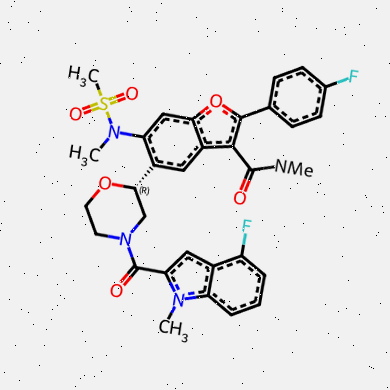 CNC(=O)c1c(-c2ccc(F)cc2)oc2cc(N(C)S(C)(=O)=O)c([C@@H]3CN(C(=O)c4cc5c(F)cccc5n4C)CCO3)cc12